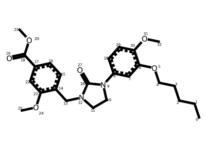 CCCCCOc1cc(N2CCN(Cc3ccc(C(=O)OC)cc3OC)C2=O)ccc1OC